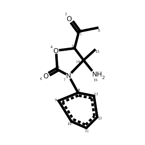 CC(=O)C1OC(=O)N(c2ccccc2)C1(C)N